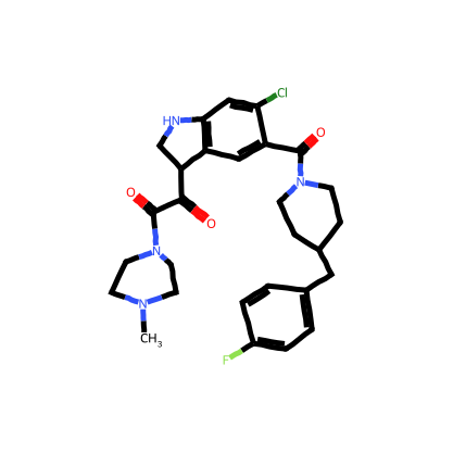 CN1CCN(C(=O)C(=O)C2CNc3cc(Cl)c(C(=O)N4CCC(Cc5ccc(F)cc5)CC4)cc32)CC1